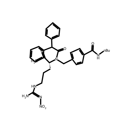 CCCCNC(=O)c1ccc(CN(C(=O)C(c2ccccc2)c2ccccc2)[C@H](CCCNC(N)=N[N+](=O)[O-])C(N)=O)cc1